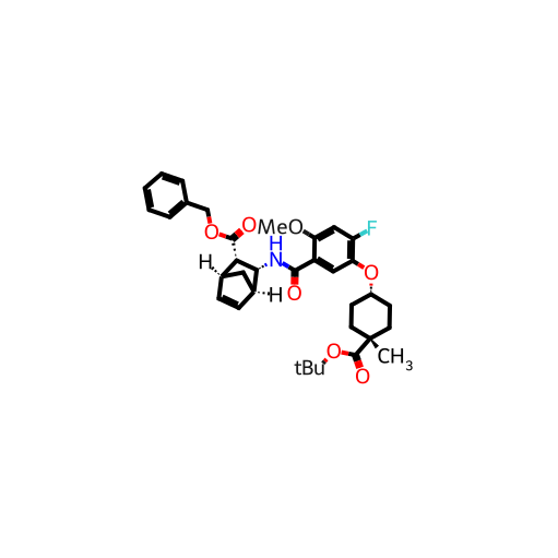 COc1cc(F)c(O[C@H]2CC[C@@](C)(C(=O)OC(C)(C)C)CC2)cc1C(=O)N[C@H]1[C@@H](C(=O)OCc2ccccc2)[C@@H]2C=C[C@H]1C2